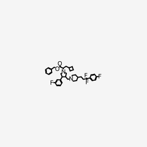 O=C(OCc1ccccc1)C(CC1CCC1)N1CC(CN2CCC(CCC(F)(F)c3ccc(F)cc3)CC2)C(c2cccc(F)c2)C1